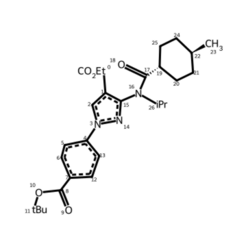 CCOC(=O)c1cn(-c2ccc(C(=O)OC(C)(C)C)cc2)nc1N(C(=O)[C@H]1CC[C@H](C)CC1)C(C)C